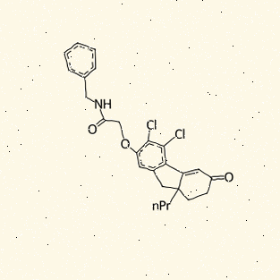 CCCC12CCC(=O)C=C1c1c(cc(OCC(=O)NCc3ccccc3)c(Cl)c1Cl)C2